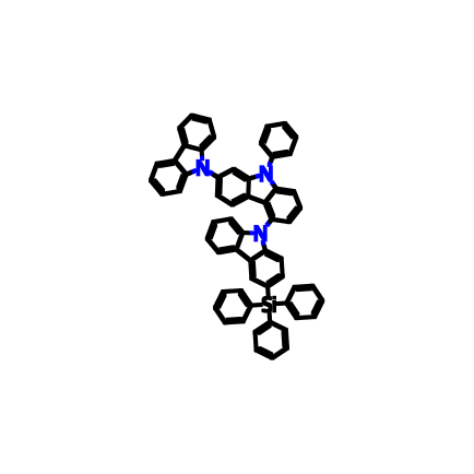 c1ccc(-n2c3cc(-n4c5ccccc5c5ccccc54)ccc3c3c(-n4c5ccccc5c5cc([Si](c6ccccc6)(c6ccccc6)c6ccccc6)ccc54)cccc32)cc1